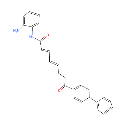 Nc1ccccc1NC(=O)C=CC=CCCC(=O)c1ccc(-c2ccccc2)cc1